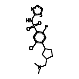 CN(C)CC1CCC(c2cc(F)c(S(=O)(=O)Nc3nccs3)cc2Cl)C1